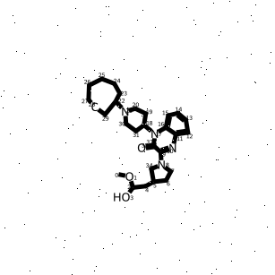 COC(O)CC1CCN(c2nc3ccccc3n(C3CCN(C4CCCCCCC4)CC3)c2=O)C1